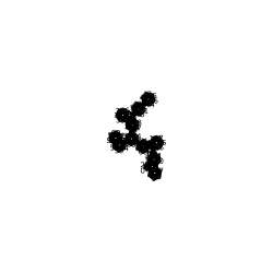 CC1(C)c2ccccc2-c2ccc(-n3c4ccccc4c4cc(-c5cc(-c6ccc7c(c6)c6ccccc6n7-c6ccc(-c7ccccc7)cc6)cc(-c6cccc7ccccc67)c5)ccc43)cc21